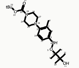 Cc1cc(BOC(C)(C)C(C)(C)O)ccc1N1CCN(C(=O)OC(C)(C)C)CC1